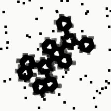 c1ccc(-c2nc(-c3ccccc3)nc(-c3c4ccccc4c(-c4cc(-c5cccc6ccccc56)nc(-c5cccc6ccccc56)n4)c4ccccc34)n2)cc1